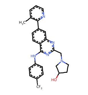 Cc1cccnc1-c1ccc2c(Nc3ccc(C(F)(F)F)cc3)nc(CN3CCC(O)C3)nc2c1